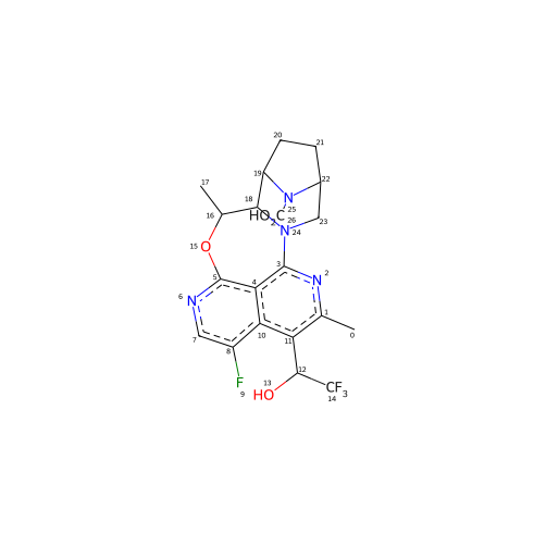 Cc1nc2c3c(ncc(F)c3c1C(O)C(F)(F)F)OC(C)C1C3CCC(CN21)N3C(=O)O